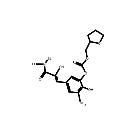 CCN(CC)C(=O)/C(C#N)=C/c1cc(OC(=O)OCC2CCCO2)c(O)c([N+](=O)[O-])c1